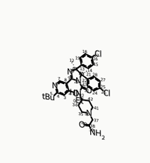 CCOc1cc(C(C)(C)C)ncc1C1=N[C@@](C)(c2ccc(Cl)cc2)[C@@](C)(c2ccc(Cl)cc2)N1C(=O)NC1CCN(CC(N)=O)CC1